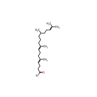 CCC(=O)CC/C=C(\C)CC/C=C(\C)CCCC(C)CCC=C(C)C